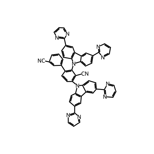 N#Cc1cccc(-c2ccc(-n3c4ccc(-c5ncccn5)cc4c4cc(-c5ncccn5)ccc43)c(C#N)c2-n2c3ccc(-c4ncccn4)cc3c3cc(-c4ncccn4)ccc32)c1